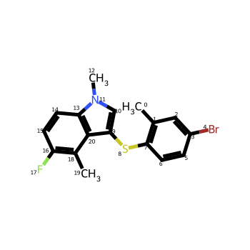 Cc1cc(Br)ccc1Sc1cn(C)c2ccc(F)c(C)c12